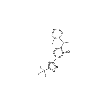 Cc1ccccc1C(C)n1ccc(-c2noc(C(F)(F)F)n2)cc1=O